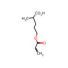 C=CC(=O)OCCCC(C)C(=O)O